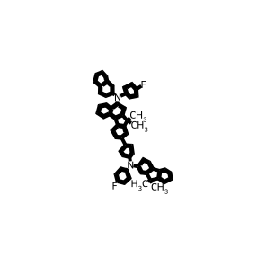 CC1(C)c2ccccc2-c2ccc(N(c3ccc(F)cc3)c3ccc(-c4ccc5c(c4)C(C)(C)c4cc(N(c6ccc(F)cc6)c6ccc7ccccc7c6)c6ccccc6c4-5)cc3)cc21